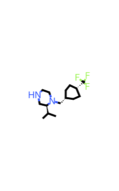 CC(C)[C@H]1CNCCN1C[C@H]1CC[C@@H](C(F)(F)F)CC1